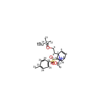 CB(O)N1C2C=CC1(CCO[Si](C)(C)C(C)(C)C)C(S(=O)(=O)c1ccc(C)cc1)=C2